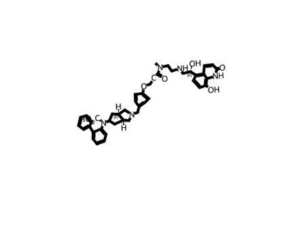 CN(CCNC[C@H](O)c1ccc(O)c2[nH]c(=O)ccc12)C(=O)CCOc1ccc(CN2C[C@H]3CC(N(C(=O)O)c4ccccc4-c4ccccc4)C[C@H]3C2)cc1